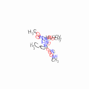 CCNC(=O)[C@@H]1CCCN1C(=O)COc1cc(C(=O)N[C@@H](CC(=O)OC(C)(C)C)C(=O)N2CCN(C(=O)OCC)CC2)nc2cc(C)ccc12